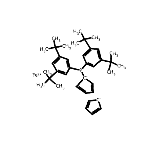 CC(C)(C)c1cc(P(c2cc(C(C)(C)C)cc(C(C)(C)C)c2)[c-]2cccc2)cc(C(C)(C)C)c1.[Fe+2].c1cc[cH-]c1